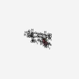 CCCCCCN(C(=O)[C@@H](NC(=O)[C@H]1CCCCN1C)[C@@H](C)CC)[C@H](C[C@@H](OC(=O)NCCNC(=O)OCc1ccc(NC(=O)[C@H](CCCNC(N)=O)NC(=O)[C@@H](NC(=O)[C@H](CCC(=O)O)NC(=O)CCOCCOCCOCCOCCNC(=O)CCC(=O)N2Cc3ccccc3C#Cc3ccccc32)C(C)C)cc1)c1nc(C(=O)N[C@@H](Cc2ccc(N)c(F)c2)CC(C)(C)C(=O)O)cs1)C(C)C